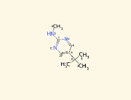 CNc1ncc(C(C)(C)C)cn1